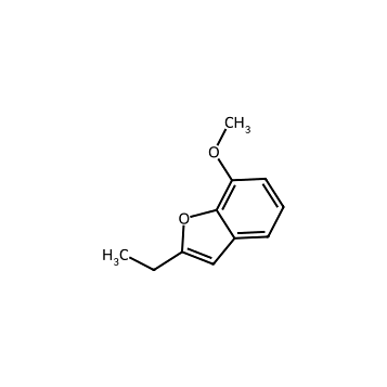 CCc1cc2cccc(OC)c2o1